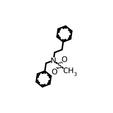 CS(=O)(=O)N(CCc1ccccc1)Cc1ccccc1